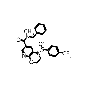 CN(Cc1ccccc1)C(=O)c1cnc2c(c1)N([S+]([O-])c1ccc(C(F)(F)F)cc1)CCO2